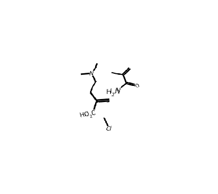 C=C(C)C(N)=O.C=C(CCN(C)C)C(=O)O.CCl